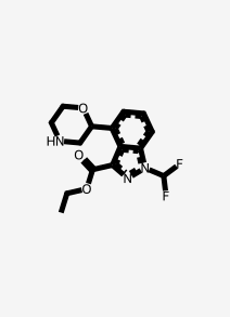 CCOC(=O)c1nn(C(F)F)c2cccc(C3CNCCO3)c12